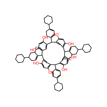 CC1CC(C2CCCCC2)CC=C1C1c2cc(c(O)cc2O)C(C2=CC=C(C3CCCCC3)CC2)c2cc(c(O)cc2O)C(C2=CCC(C3CCCCC3)CC2C)c2cc(c(O)cc2O)C(c2ccc(C3CCCCC3)cc2)c2cc1c(O)cc2O